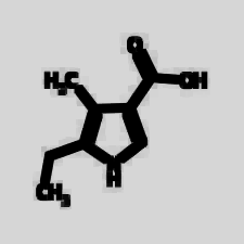 CCc1[nH]cc(C(=O)O)c1C